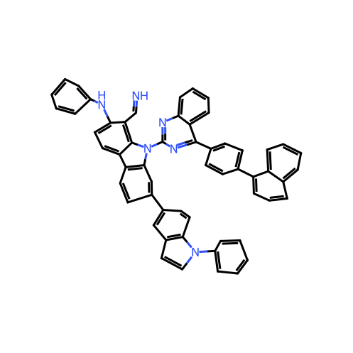 N=Cc1c(Nc2ccccc2)ccc2c3ccc(-c4ccc5c(ccn5-c5ccccc5)c4)cc3n(-c3nc(-c4ccc(-c5cccc6ccccc56)cc4)c4ccccc4n3)c12